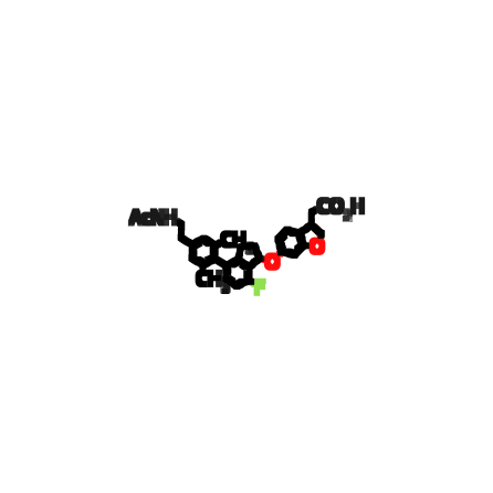 CC(=O)NCCc1cc(C)c(-c2ccc(F)c3c2CC[C@H]3Oc2ccc3c(c2)OCC3CC(=O)O)c(C)c1